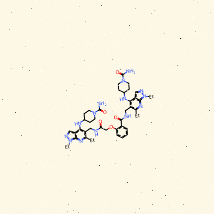 CCc1nc2c(cnn2CC)c(NC2CCN(C(N)=O)CC2)c1CNC(=O)COc1ccccc1C(=O)NCc1c(CC)nc2c(cnn2CC)c1NC1CCN(C(N)=O)CC1